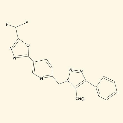 O=Cc1c(-c2ccccc2)nnn1Cc1ccc(-c2nnc(C(F)F)o2)cn1